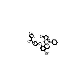 O=C1CCCN1C[C@@H]1c2c(O[C@H]3CCN(C(=O)c4cncs4)C3)ccc(Br)c2CCN1C(=O)C1CCCCC1